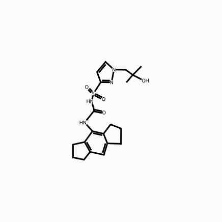 CC(C)(O)Cn1ccc(S(=O)(=O)NC(=O)Nc2c3c(cc4c2CCC4)CCC3)n1